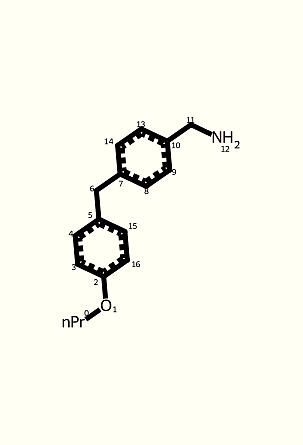 CCCOc1ccc(Cc2ccc(CN)cc2)cc1